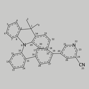 CC1(C)c2ccccc2N(c2ccccc2-c2ccc(-c3cncc(C#N)c3)cc2)c2ccccc21